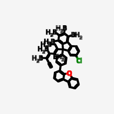 BC/C(=C(B)\C(B)=C(\B)C#C)C1(c2ccc(-c3cccc4c3oc3ccccc34)cc2)c2cc(Cl)ccc2-c2c(B)c(B)c(B)c(B)c21